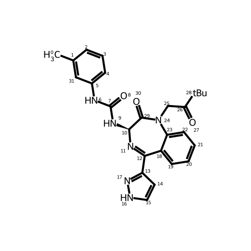 Cc1cccc(NC(=O)N[C@@H]2N=C(c3cc[nH]n3)c3ccccc3N(CC(=O)C(C)(C)C)C2=O)c1